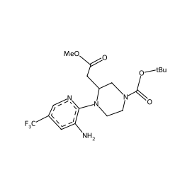 COC(=O)CC1CN(C(=O)OC(C)(C)C)CCN1c1ncc(C(F)(F)F)cc1N